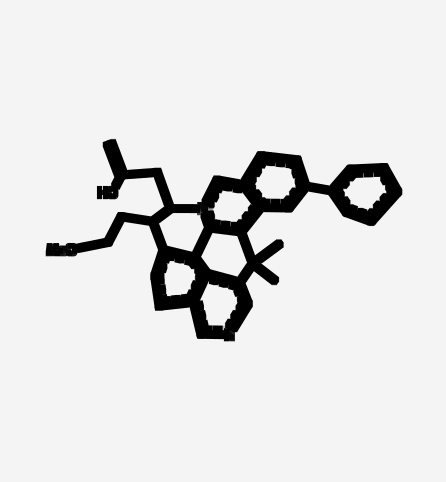 C=C(O)CC1C(CCOC)c2ccc3cncc4c3c2-c2c(c3cc(-c5ccccc5)ccc3c[n+]21)C4(C)C